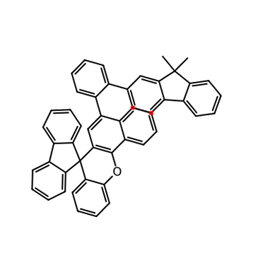 CC1(C)c2ccccc2-c2ccc(-c3ccccc3-c3cc4c(c5ccccc35)Oc3ccccc3C43c4ccccc4-c4ccccc43)cc21